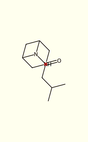 CC(C)CC(=O)N1C2CNCC1C2